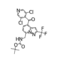 CC(C)(C)OC(=O)NCc1ccc(C(=O)c2c(Cl)cncc2Cl)c2cc(C(F)(F)F)nn12